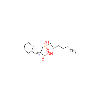 CCCCCCP(=O)(O)C/C(=C\C1CCCCC1)C(=O)O